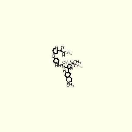 CNC(=O)c1cc(Oc2ccc(NC(=O)Nc3cn(C(C)(C)C)nc3-c3ccc4c(c3)CCN(C)C4)cc2)ccn1